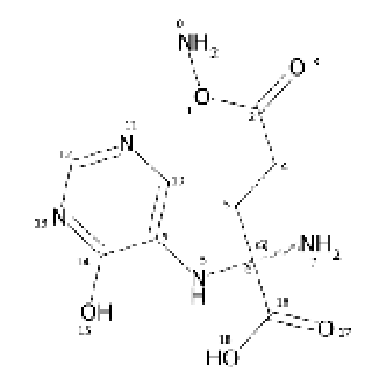 NOC(=O)CC[C@](N)(Nc1cncnc1O)C(=O)O